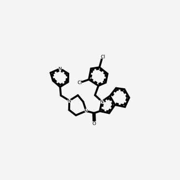 O=C(c1cc2ccccc2n1Cc1ccc(Cl)cc1Cl)N1CCN(Cc2ccncc2)CC1